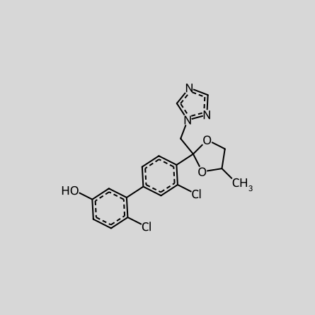 CC1COC(Cn2cncn2)(c2ccc(-c3cc(O)ccc3Cl)cc2Cl)O1